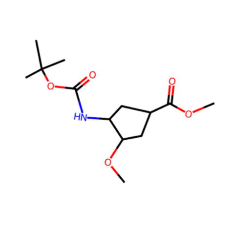 COC(=O)C1CC(NC(=O)OC(C)(C)C)C(OC)C1